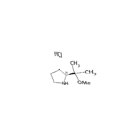 COC(C)(C)[C@@H]1CCCN1.Cl